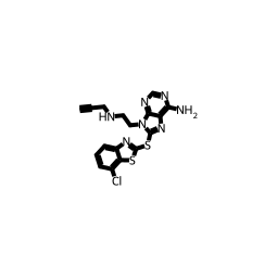 C#CCNCCn1c(Sc2nc3cccc(Cl)c3s2)nc2c(N)ncnc21